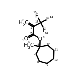 C=C(C(=O)OC1(C)CCCCCC1)C(F)(F)F